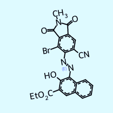 CCOC(=O)c1cc2ccccc2c(/N=N/c2c(C#N)cc3c(c2Br)C(=O)N(C)C3=O)c1O